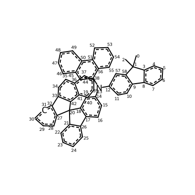 CC1(C)c2ccccc2-c2ccc(N(c3ccc4c(c3)C3(c5ccccc5-4)c4ccccc4-c4ccc5ccccc5c43)c3cc4ccccc4c4ccccc34)cc21